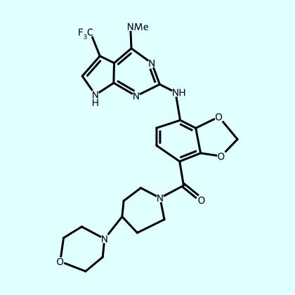 CNc1nc(Nc2ccc(C(=O)N3CCC(N4CCOCC4)CC3)c3c2OCO3)nc2[nH]cc(C(F)(F)F)c12